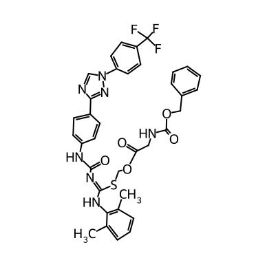 Cc1cccc(C)c1N/C(=N/C(=O)Nc1ccc(-c2ncn(-c3ccc(C(F)(F)F)cc3)n2)cc1)SCOC(=O)CNC(=O)OCc1ccccc1